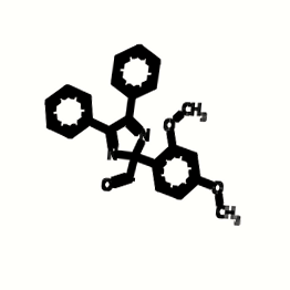 COc1ccc(C2([C]=O)N=C(c3ccccc3)C(c3ccccc3)=N2)c(OC)c1